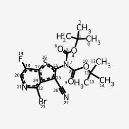 CC(C)(C)OC(=O)N(C(=O)OC(C)(C)C)c1sc2c(F)cnc(Br)c2c1C#N